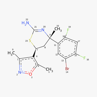 Cc1noc(C)c1[C@@H]1C[C@@](C)(c2cc(Br)c(F)cc2F)N=C(N)S1